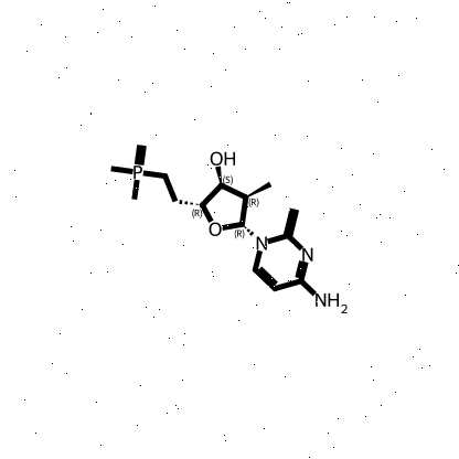 C=C1N=C(N)C=CN1[C@@H]1O[C@H](CCP(=C)(C)C)[C@@H](O)[C@H]1C